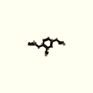 CC(=O)NCc1ccc(CN)cc1Br